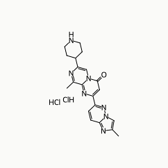 Cc1cn2nc(-c3cc(=O)n4cc(C5CCNCC5)nc(C)c4n3)ccc2n1.Cl.Cl